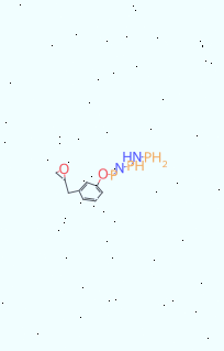 PNPN=POc1cccc(CC2CO2)c1